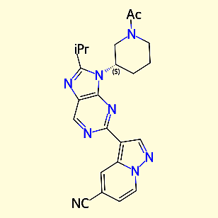 CC(=O)N1CCC[C@H](n2c(C(C)C)nc3cnc(-c4cnn5ccc(C#N)cc45)nc32)C1